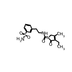 CCC1=C(C)CN(C(=O)NCCc2cccc(S(N)(=O)=O)c2)C1=O